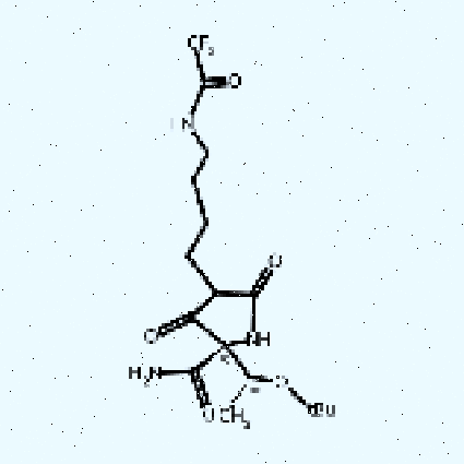 C[C@@H](OC(C)(C)C)[C@@]1(C(N)=O)NC(=O)C(CCCCNC(=O)C(F)(F)F)C1=O